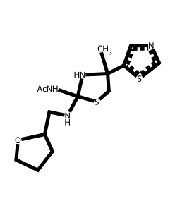 CC(=O)NC1(NCC2CCCO2)NC(C)(c2cncs2)CS1